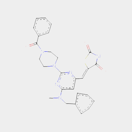 CN(Cc1ccccc1)c1cc(/C=C2\SC(=O)NC2=O)nc(N2CCN(C(=O)c3ccccc3)CC2)n1